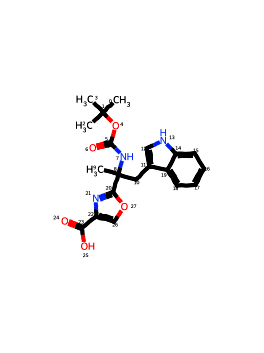 CC(C)(C)OC(=O)NC(C)(Cc1c[nH]c2ccccc12)c1nc(C(=O)O)co1